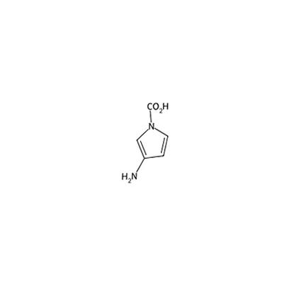 Nc1ccn(C(=O)O)c1